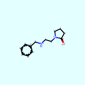 O=C1CCCN1CCNCc1ccccc1